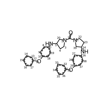 O=C(N1CCC(Nc2ccc(Oc3ccccc3)cc2)C1)N1CCC(Nc2ccc(Oc3ccccc3)cc2)C1